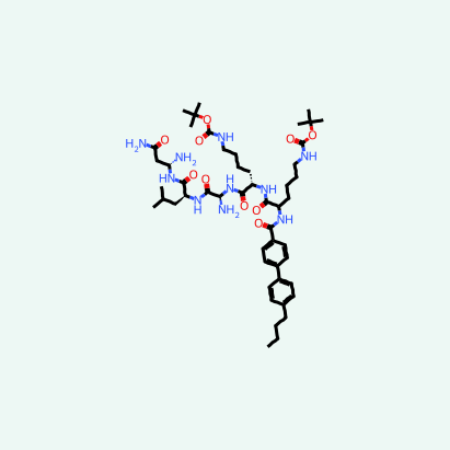 CCCCc1ccc(-c2ccc(C(=O)NC(CCCCNC(=O)OC(C)(C)C)C(=O)N[C@@H](CCCCNC(=O)OC(C)(C)C)C(=O)N[C@@H](N)C(=O)N[C@@H](CC(C)C)C(=O)N[C@@H](N)CC(N)=O)cc2)cc1